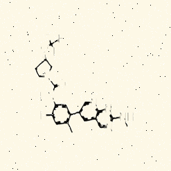 CNc1ncc2cc(-c3cc(NC(=O)N4CC[C@H](OC(F)(F)F)C4)c(F)cc3C)cnc2n1